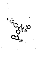 C=CC(=O)N1CCN(c2nc(OC3([C@@H]4CCCN4C)CC3)nc3c2CCN(c2cc(O)cc4ccccc24)C3)CC1